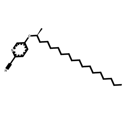 CCCCCCCCCCCCCCC[CH][C@H](C)Oc1ccc(C#N)nc1